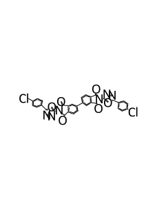 O=C1c2ccc(-c3ccc4c(c3)C(=O)N(c3nnc(-c5ccc(Cl)cc5)o3)C4=O)cc2C(=O)N1c1nnc(-c2ccc(Cl)cc2)o1